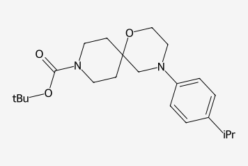 CC(C)c1ccc(N2CCOC3(CCN(C(=O)OC(C)(C)C)CC3)C2)cc1